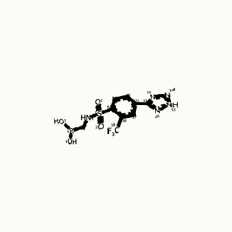 O=S(=O)(NCB(O)O)c1ccc(-c2nn[nH]n2)cc1C(F)(F)F